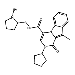 Cc1c2ccccc2n2c(C(=O)NCC3CCCN3C(C)C)cn(C3CCCC3)c(=O)c12